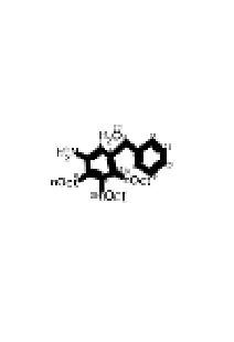 CCCCCCCCc1c(N)cc(Cc2ccccc2)c(CCCCCCCC)c1CCCCCCCC.O